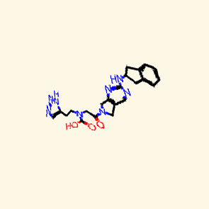 O=C(O)N(CCc1cnn[nH]1)CC(=O)N1Cc2cnc(NC3Cc4ccccc4C3)nc2C1